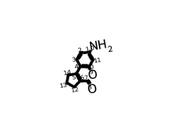 Nc1ccc2c3c(c(=O)oc2c1)CCC3